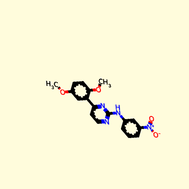 COc1ccc(OC)c(-c2ccnc(Nc3cccc([N+](=O)[O-])c3)n2)c1